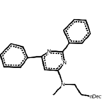 CCCCCCCCCCCCN(C)c1cc(-c2ccccc2)nc(-c2ccccc2)n1